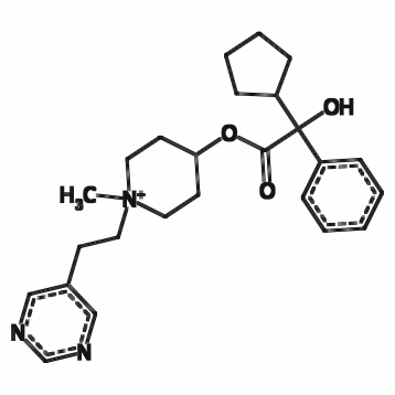 C[N+]1(CCc2cncnc2)CCC(OC(=O)C(O)(c2ccccc2)C2CCCC2)CC1